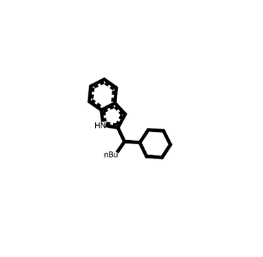 CCCCC(c1cc2ccccc2[nH]1)C1CCCCC1